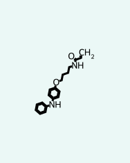 C=CC(=O)NCCCCOc1ccc(Nc2ccccc2)cc1